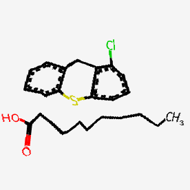 CCCCCCCCCC(=O)O.Clc1cccc2c1Cc1ccccc1S2